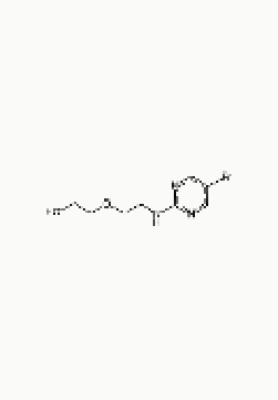 OCCOCCNc1ncc(Br)cn1